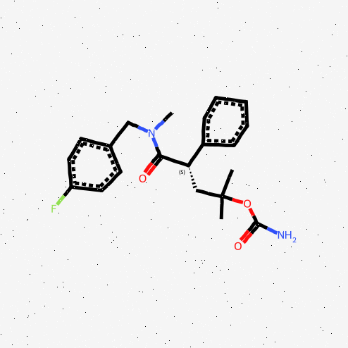 CN(Cc1ccc(F)cc1)C(=O)[C@@H](CC(C)(C)OC(N)=O)c1ccccc1